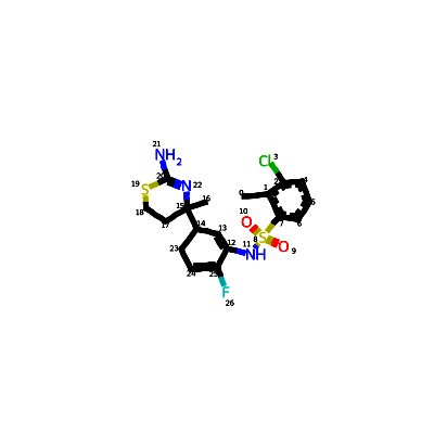 Cc1c(Cl)cccc1S(=O)(=O)NC1=CC(C2(C)CCSC(N)=N2)CC=C1F